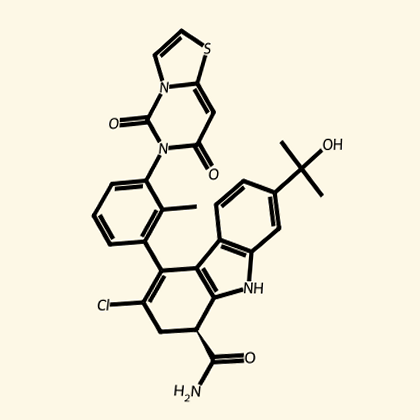 Cc1c(C2=C(Cl)C[C@H](C(N)=O)c3[nH]c4cc(C(C)(C)O)ccc4c32)cccc1-n1c(=O)cc2sccn2c1=O